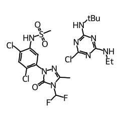 CCNc1nc(Cl)nc(NC(C)(C)C)n1.Cc1nn(-c2cc(NS(C)(=O)=O)c(Cl)cc2Cl)c(=O)n1C(F)F